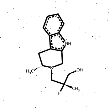 C[C@@H]1Cc2c([nH]c3ccccc23)CN1C[C@@](C)(F)CO